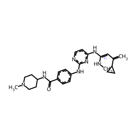 C=C(/C=C(\NC)Nc1ccnc(Nc2ccc(C(=O)NC3CCN(C)CC3)cc2)n1)C1CC1